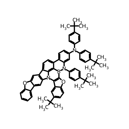 CC(C)(C)c1ccc(N2B3c4oc5ccc(C(C)(C)C)cc5c4-n4c5cc6c(cc5c5ccc(c3c54)-c3ccc(N(c4ccc(C(C)(C)C)cc4)c4ccc(C(C)(C)C)cc4)cc32)oc2ccccc26)cc1